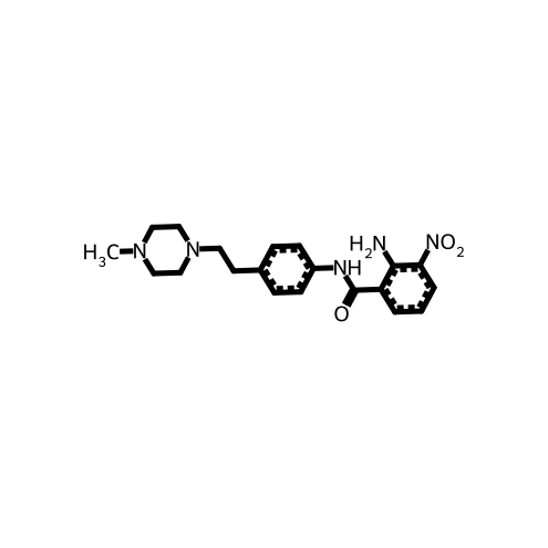 CN1CCN(CCc2ccc(NC(=O)c3cccc([N+](=O)[O-])c3N)cc2)CC1